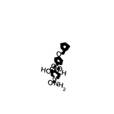 NC(=O)N1CCC(S(=O)(=O)c2ccc(OCc3ccccc3)cc2)C(O)(C(=O)O)C1